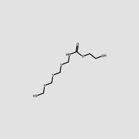 O=C(NCSCSCSCS)SCCO